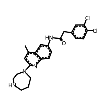 Cc1cc(N2CCCNCC2)nc2ccc(NC(=O)Cc3ccc(Cl)c(Cl)c3)cc12